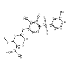 CCC1CN(Cc2ccn(S(=O)(=O)c3cccc(F)c3)c(=O)c2O)CCN1C(=O)O